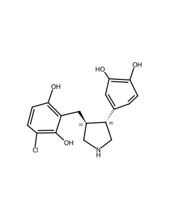 Oc1ccc([C@@H]2CNC[C@H]2Cc2c(O)ccc(Cl)c2O)cc1O